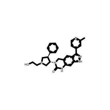 Cc1cc(-c2n[nH]c3cc4c(cc23)CN([C@@H]2CN(CCO)C[C@H]2c2ccccc2)C(=O)N4)ccn1